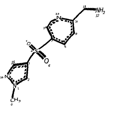 Cn1cc(S(=O)(=O)c2ccc(CN)nc2)cn1